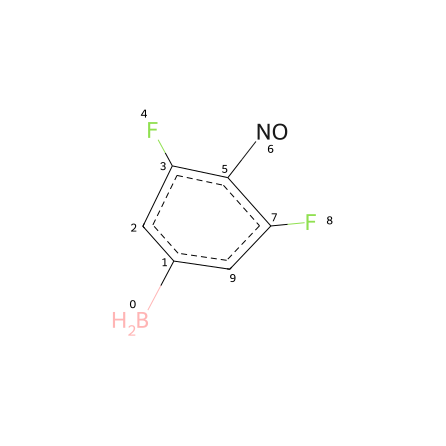 Bc1cc(F)c(N=O)c(F)c1